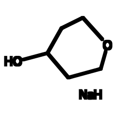 OC1CCOCC1.[NaH]